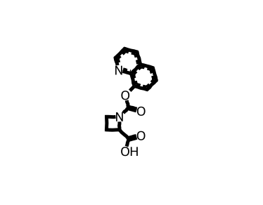 O=C(O)C1CCN1C(=O)Oc1cccc2cccnc12